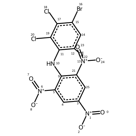 O=[N+]([O-])c1cc([N+](=O)[O-])c(Nc2c(Cl)cc(Br)c(Cl)c2Cl)c([N+](=O)[O-])c1